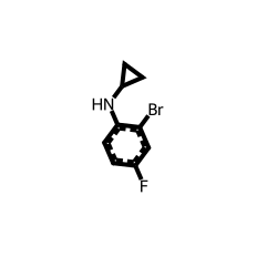 Fc1ccc(NC2CC2)c(Br)c1